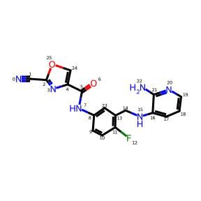 N#Cc1nc(C(=O)Nc2ccc(F)c(CNc3cccnc3N)c2)co1